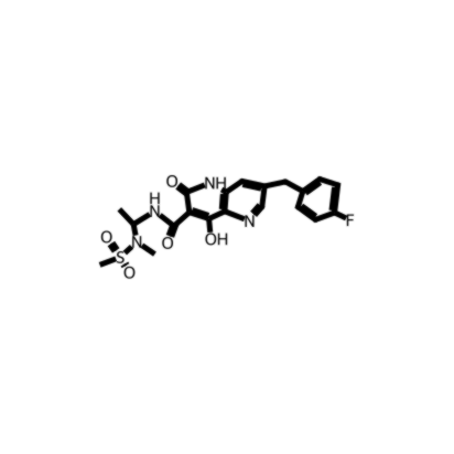 CC(NC(=O)c1c(O)c2ncc(Cc3ccc(F)cc3)cc2[nH]c1=O)N(C)S(C)(=O)=O